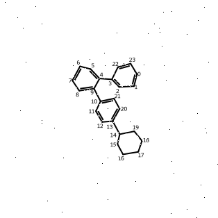 c1ccc(-c2ccccc2-c2ccc(C3CCCCC3)cc2)cc1